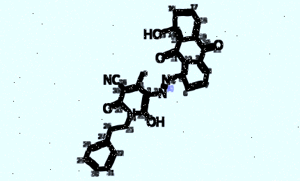 Cc1c(/N=N/c2cccc3c2C(=O)c2c(O)cccc2C3=O)c(O)n(CCc2ccccc2)c(=O)c1C#N